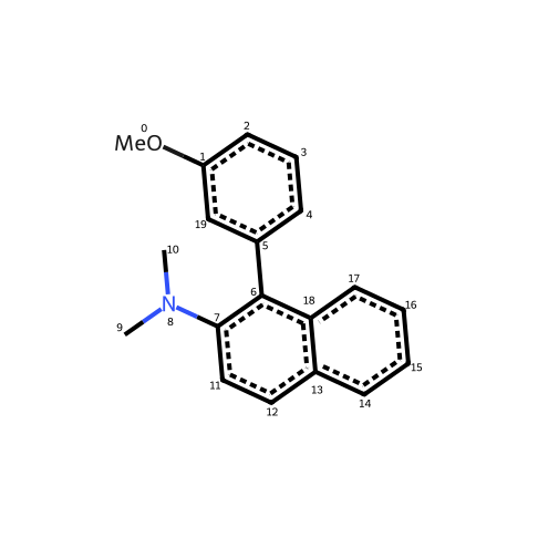 COc1cccc(-c2c(N(C)C)ccc3ccccc23)c1